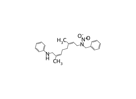 CC(=CCN(Cc1ccccc1)[N+](=O)[O-])CCC=C(C)CNc1ccccc1